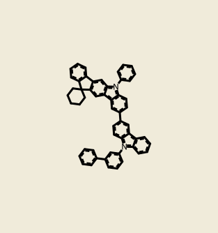 c1ccc(-c2cccc(-n3c4ccccc4c4cc(-c5ccc6c(c5)c5cc7c(cc5n6-c5ccccc5)-c5ccccc5C75CCCCC5)ccc43)c2)cc1